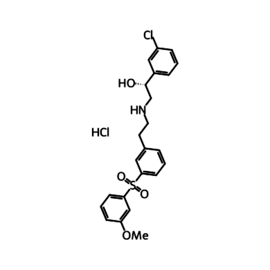 COc1cccc(S(=O)(=O)c2cccc(CCNC[C@H](O)c3cccc(Cl)c3)c2)c1.Cl